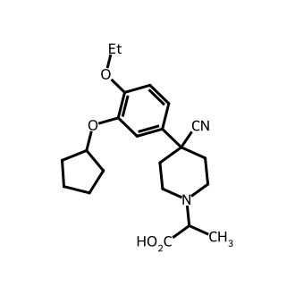 CCOc1ccc(C2(C#N)CCN(C(C)C(=O)O)CC2)cc1OC1CCCC1